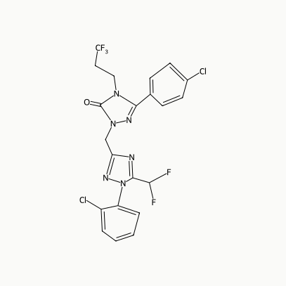 O=c1n(Cc2nc(C(F)F)n(-c3ccccc3Cl)n2)nc(-c2ccc(Cl)cc2)n1CCC(F)(F)F